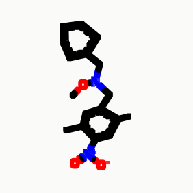 CON(Cc1ccccc1)Cc1cc(C)c([N+](=O)[O-])cc1C